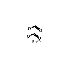 O=C[O-].O=C[O-].[Rh+2]